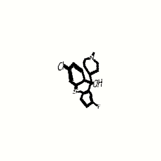 CN1CCC(C2(O)c3ccc(Cl)cc3Sc3ccc(F)cc32)CC1